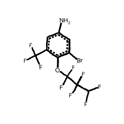 Nc1cc(Br)c(OC(F)(F)C(F)(F)C(F)F)c(C(F)(F)F)c1